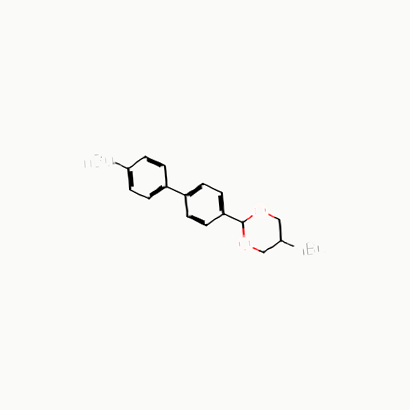 CCCCc1ccc(-c2ccc(C3OCC(CCCC)CO3)cc2)cc1